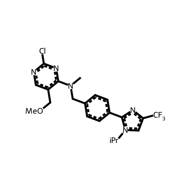 COCc1cnc(Cl)nc1N(C)Cc1ccc(-c2nc(C(F)(F)F)cn2C(C)C)cc1